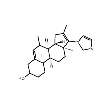 CC1=C(N2C=CSC2)[C@@]2(C)CC[C@@H]3[C@@H](C(C)C=C4CC(O)CC[C@@]43C)[C@@H]2C1